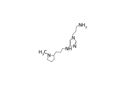 CN1CCCC1CCCNc1cn(CCCN)cn1